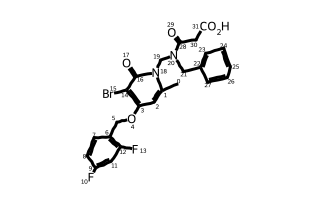 Cc1cc(OCc2ccc(F)cc2F)c(Br)c(=O)n1CN(Cc1ccccc1)C(=O)CC(=O)O